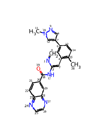 C=N/C(=C\c1cc(-c2cnn(C)c2)ccc1C)NC(=O)c1ccc2nccnc2c1